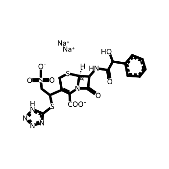 O=C([O-])C1=C(C(CS(=O)(=O)[O-])Sc2nnn[nH]2)CS[C@H]2C(NC(=O)C(O)c3ccccc3)C(=O)N12.[Na+].[Na+]